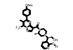 CCOc1ncccc1[C@H](CO)N1CCN(C(=O)c2cnn3c(C(F)(F)F)c(C)c(-c4ccc(OC)cc4)nc23)[C@H](C)C1